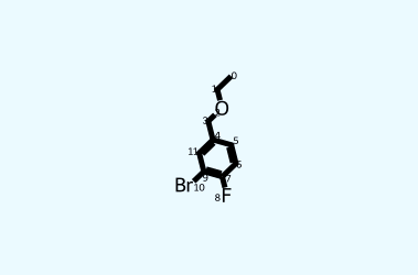 CCOCc1ccc(F)c(Br)c1